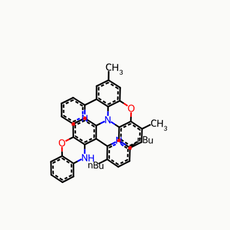 CCCCc1ccc(CCCC)c(-c2c(N3c4cccc(C)c4Oc4cc(C)cc(-c5ccccn5)c43)ccc3c2Nc2ccccc2O3)n1